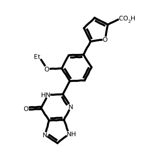 CCOc1cc(-c2ccc(C(=O)O)o2)ccc1-c1nc2[nH]cnc2c(=O)[nH]1